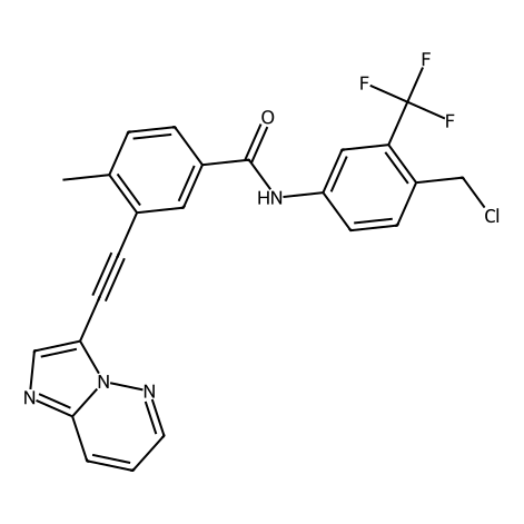 Cc1ccc(C(=O)Nc2ccc(CCl)c(C(F)(F)F)c2)cc1C#Cc1cnc2cccnn12